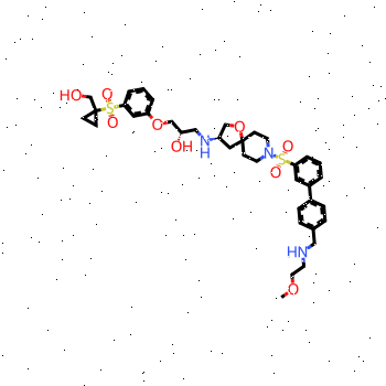 COCCNCc1ccc(-c2cccc(S(=O)(=O)N3CCC4(CC3)C[C@@H](NC[C@H](O)COc3cccc(S(=O)(=O)C5(CO)CC5)c3)CO4)c2)cc1